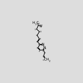 C=CCc1ccc(C=CCCCC(C)F)nn1